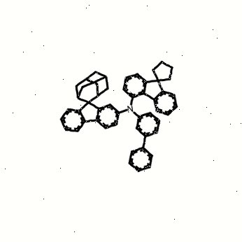 c1ccc(-c2cccc(N(c3ccc4c(c3)C3(c5ccccc5-4)C4CC5CC(C4)CC3C5)c3cccc4c3-c3ccccc3C43CCCC3)c2)cc1